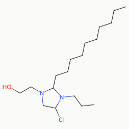 CCCCCCCCCCC1N(CCO)CC(Cl)N1CCC